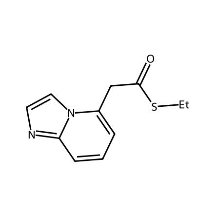 CCSC(=O)Cc1cccc2nccn12